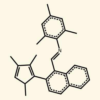 CC1=CC(C)C(c2ccc3ccccc3c2C=Nc2c(C)cc(C)cc2C)=C1C